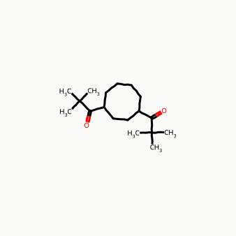 CC(C)(C)C(=O)C1CCCCC(C(=O)C(C)(C)C)CC1